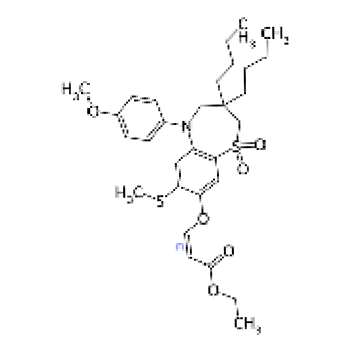 CCCCC1(CCCC)CN(c2ccc(OC)cc2)c2cc(SC)c(O/C=C\C(=O)OCC)cc2S(=O)(=O)C1